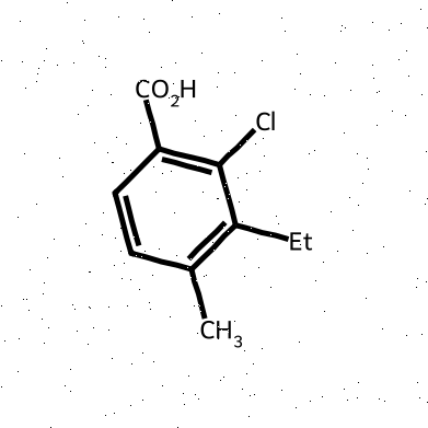 CCc1c(C)ccc(C(=O)O)c1Cl